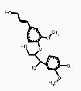 COc1cc(C(O)C(CO)Oc2ccc(/C=C/CO)cc2OC)ccc1O